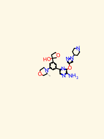 C[C@@H]1COCCN1c1cc(-c2cnc(N)c(Oc3cnn(C4CCN(C)CC4)c3)n2)cc([C@]2(O)CCOC2)c1